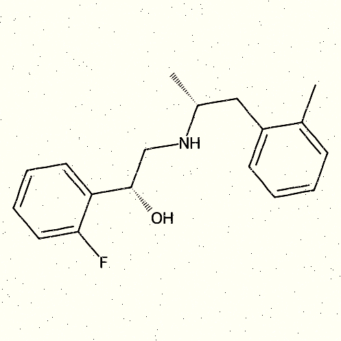 Cc1ccccc1C[C@@H](C)NC[C@H](O)c1ccccc1F